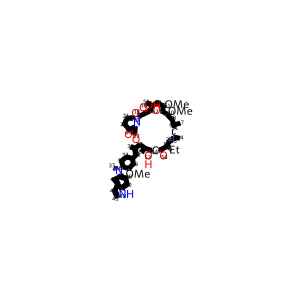 CCC1/C=C(\C)CC(C)CC(OC)C2OC(O)(C(=O)C(=O)N3CCCCC3C(=O)OC(C(C)=CC3CCC(N(C)c4ccc5[nH]ccc5c4)C(OC)C3)C(C)C(O)CC1=O)C(C)CC2OC